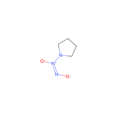 [O]/N=[N+](/[O-])N1CCCC1